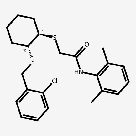 Cc1cccc(C)c1NC(=O)CS[C@@H]1CCCC[C@H]1SCc1ccccc1Cl